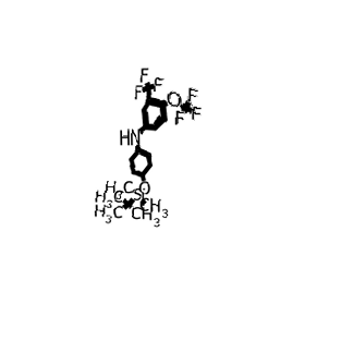 CC(C)(C)[Si](C)(C)OC1CCC(Nc2ccc(OC(F)(F)F)c(C(F)(F)F)c2)CC1